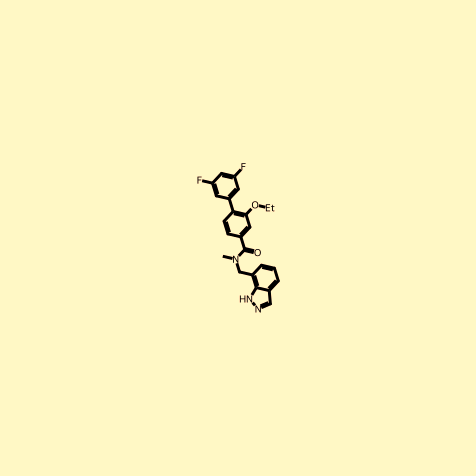 CCOc1cc(C(=O)N(C)Cc2cccc3cn[nH]c23)ccc1-c1cc(F)cc(F)c1